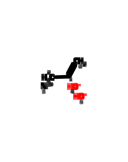 C=CC.[Ni+2].[OH-].[OH-]